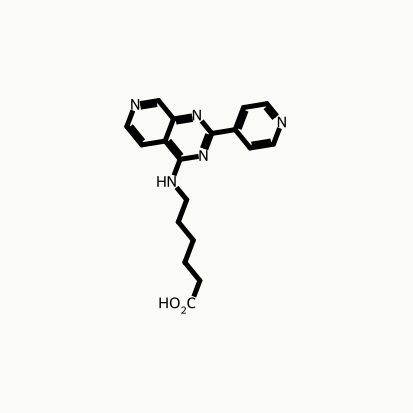 O=C(O)CCCCCNc1nc(-c2ccncc2)nc2cnccc12